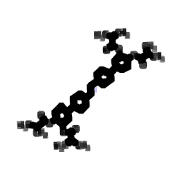 C=C(C)C(=O)Oc1ccc(-c2ccc(/C=C/c3ccc(-c4ccc(OC(=O)C(=C)C)c(OC(=O)C(=C)C)c4)cc3)cc2)cc1OC(=O)C(=C)C